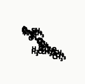 CC([SiH3])[C@H](NCc1ccccn1)C(=O)NCc1ccc(CN(CCCNC(=O)OC(C)(C)C)C(=O)OC(C)(C)C)cc1